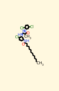 CCCCCCCCCCCCCC(=O)Nc1ccc(Cl)c(NC2=NN(c3cc(Cl)ccc3Cl)C(=O)C2C)c1